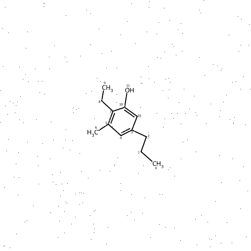 CCCc1cc(C)c(CC)c(O)c1